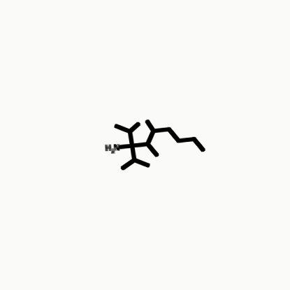 CCCCC(C)C(C)C(N)(C(C)C)C(C)C